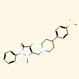 Cn1c(CN2CCC(c3ccc([S+](C)[O-])cc3)CC2)c(Cl)c(=O)n1-c1ccccc1